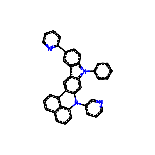 c1ccc(-n2c3ccc(-c4ccccn4)cc3c3cc4c(cc32)N(c2cccnc2)c2cccc3cccc-4c23)cc1